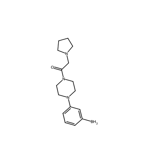 Bc1cccc(N2CCN(C(=O)CN3CCCC3)CC2)c1